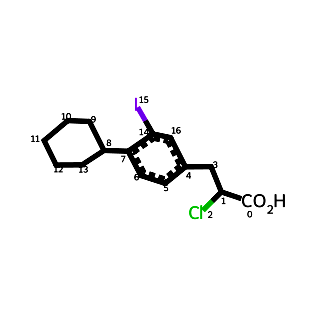 O=C(O)C(Cl)Cc1ccc(C2CCCCC2)c(I)c1